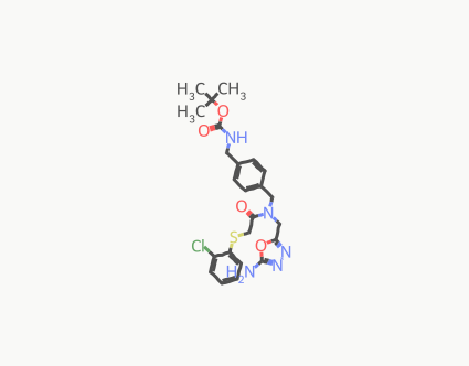 CC(C)(C)OC(=O)NCc1ccc(CN(Cc2nnc(N)o2)C(=O)CSc2ccccc2Cl)cc1